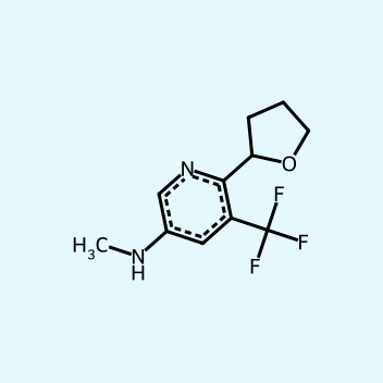 CNc1cnc(C2CCCO2)c(C(F)(F)F)c1